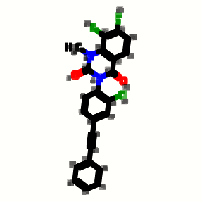 Cn1c(=O)n(-c2ccc(C#Cc3ccccc3)cc2Cl)c(=O)c2ccc(F)c(F)c21